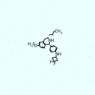 CCCC[C@H]1Cc2cc(OC)ccc2[C@H](c2ccc(NC3CC(F)(F)C3)cc2)N1